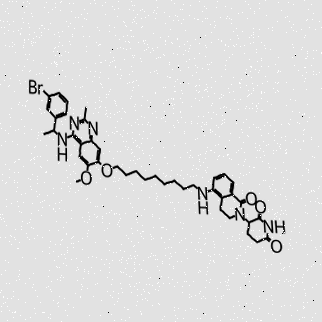 COc1cc2c(NC(C)c3cccc(Br)c3)nc(C)nc2cc1OCCCCCCCCCNc1cccc2c1CCN(C1CCC(=O)NC1=O)C2=O